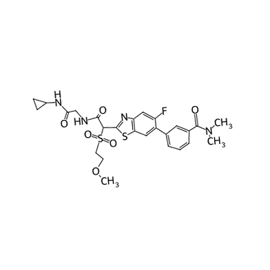 COCCS(=O)(=O)C(C(=O)NCC(=O)NC1CC1)c1nc2cc(F)c(-c3cccc(C(=O)N(C)C)c3)cc2s1